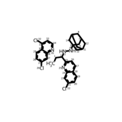 CCC(NNC12CC3CC(CC(C3)C1)C2)c1ccc2ccc(Cl)cc2n1.Clc1ccc2c(Cl)ccnc2c1